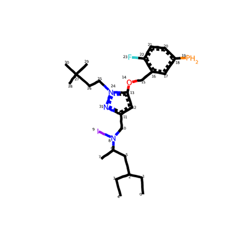 CCC(CC)CC(C)N(I)Cc1cc(OCc2cc(P)ccc2F)n(CCC(C)(C)C)n1